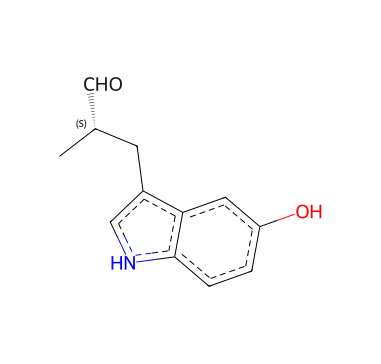 C[C@H](C=O)Cc1c[nH]c2ccc(O)cc12